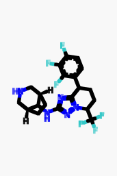 Fc1ccc(C2CCC(C(F)(F)F)n3nc(NC4[C@@H]5CC[C@H]4CNC5)nc32)c(F)c1F